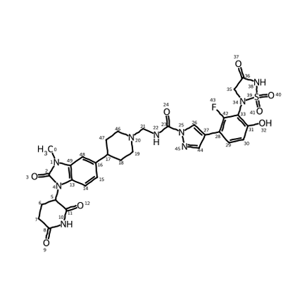 Cn1c(=O)n(C2CCC(=O)NC2=O)c2ccc(C3CCN(CNC(=O)n4cc(-c5ccc(O)c(N6CC(=O)NS6(=O)=O)c5F)cn4)CC3)cc21